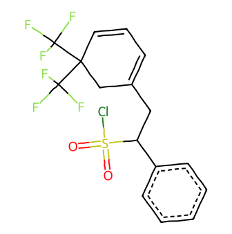 O=S(=O)(Cl)C(CC1=CC=CC(C(F)(F)F)(C(F)(F)F)C1)c1ccccc1